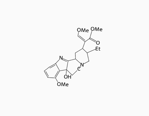 CCC1CN2CCC3(O)C(=Nc4cccc(OC)c43)C2CC1C(=COC)C(=O)OC